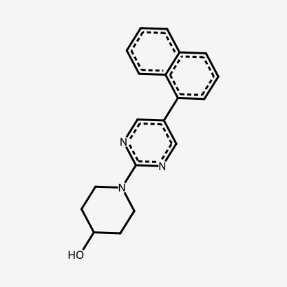 OC1CCN(c2ncc(-c3cccc4ccccc34)cn2)CC1